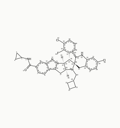 O=C(NC1CC1)c1ccc2c3n(nc2c1)[C@@H]1[C@H](C3)N(CC2CCC2)[C@]2(Cc3ccc(Cl)cc3NC2=O)[C@H]1c1cccc(Cl)c1F